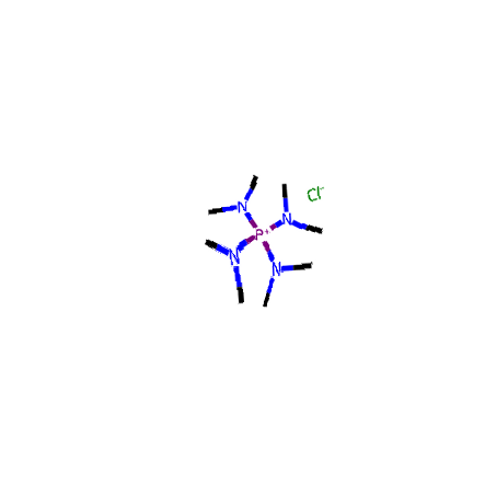 CN(C)[P+](N(C)C)(N(C)C)N(C)C.[Cl-]